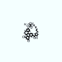 CC(C)(C)C(=O)Oc1ccc2c(c1)CCCC(c1ccc(Cl)cc1Cl)=C2c1ccc(C(O)C2CCN(CCCF)C2)cc1